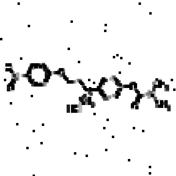 CN(C)C(=O)Oc1ccc([C@H](N)CCOc2ccc([N+](=O)[O-])cc2)cc1.Cl